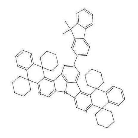 CC1(C)c2ccccc2-c2ccc(-c3cc4c5c6c(ncc5n5c7cnc8c(c7c(c3)c45)C3(CCCCC3)c3ccccc3C83CCCCC3)C3(CCCCC3)c3ccccc3C63CCCCC3)cc21